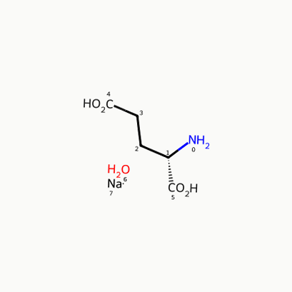 N[C@@H](CCC(=O)O)C(=O)O.O.[Na]